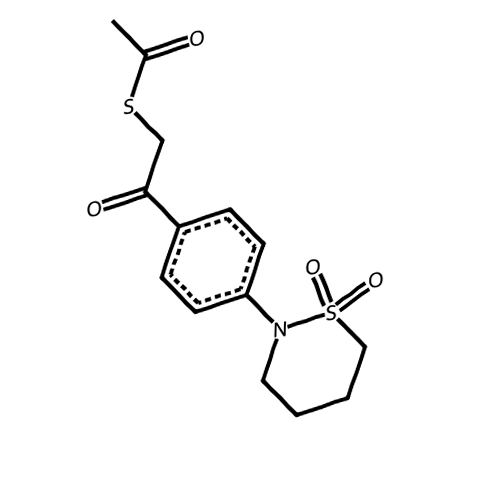 CC(=O)SCC(=O)c1ccc(N2CCCCS2(=O)=O)cc1